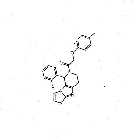 Cc1ccc(OCC(=O)N2CCc3nc4sccn4c3C2c2cccnc2F)cc1